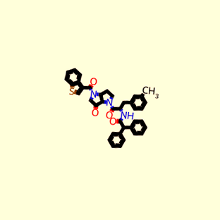 Cc1cccc(CC(NC(=O)C(c2ccccc2)c2ccccc2)C(=O)N2CCC3C2C(=O)CN3C(=O)c2csc3ccccc23)c1